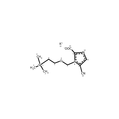 C[Si](C)(C)CCOCn1c(C#N)cnc1C(=O)[O-].[K+]